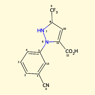 N#Cc1cccc(N2NC(C(F)(F)F)C=C2C(=O)O)c1